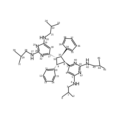 CC(C)CNc1cc([C@H]2[C@H](c3ccccc3)[C@H](c3cc(NCC(C)C)nc(NCC(C)C)n3)[C@H]2c2ccccc2)nc(NCC(C)C)n1